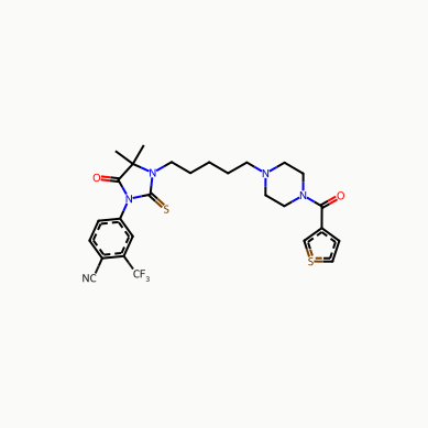 CC1(C)C(=O)N(c2ccc(C#N)c(C(F)(F)F)c2)C(=S)N1CCCCCN1CCN(C(=O)c2ccsc2)CC1